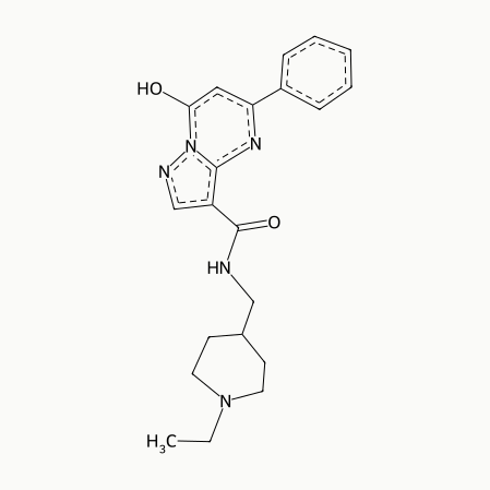 CCN1CCC(CNC(=O)c2cnn3c(O)cc(-c4ccccc4)nc23)CC1